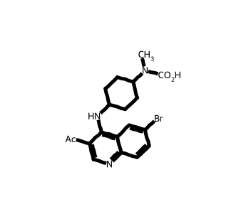 CC(=O)c1cnc2ccc(Br)cc2c1NC1CCC(N(C)C(=O)O)CC1